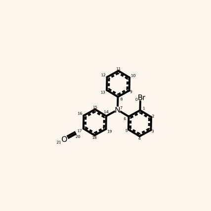 Brc1ccccc1N(c1ccccc1)c1ccccc1.C=O